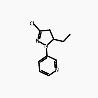 CCC1CC(Cl)=NN1c1cccnc1